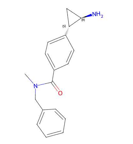 CN(Cc1ccccc1)C(=O)c1ccc([C@@H]2C[C@H]2N)cc1